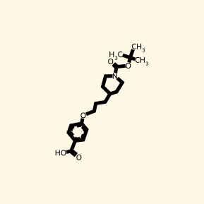 CC(C)(C)OC(=O)N1CCC(CCCOc2ccc(C(=O)O)cc2)CC1